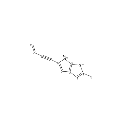 C=CC#Cc1cc2cc(C)sc2[nH]1